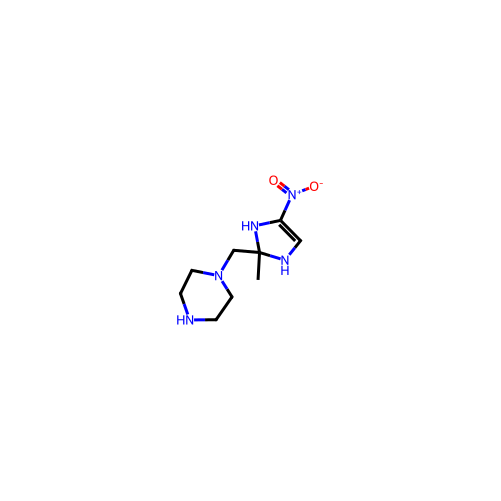 CC1(CN2CCNCC2)NC=C([N+](=O)[O-])N1